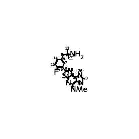 CNc1nc2sc(-c3cc(CC(C)(C)N)ccc3F)nc2c2c1ncn2C